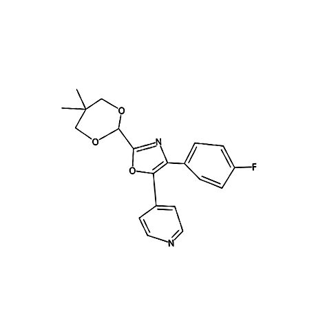 CC1(C)COC(c2nc(-c3ccc(F)cc3)c(-c3ccncc3)o2)OC1